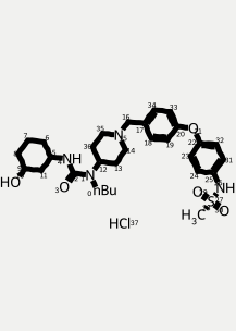 CCCCN(C(=O)NC1CCCC(O)C1)C1CCN(Cc2ccc(Oc3ccc(NS(C)(=O)=O)cc3)cc2)CC1.Cl